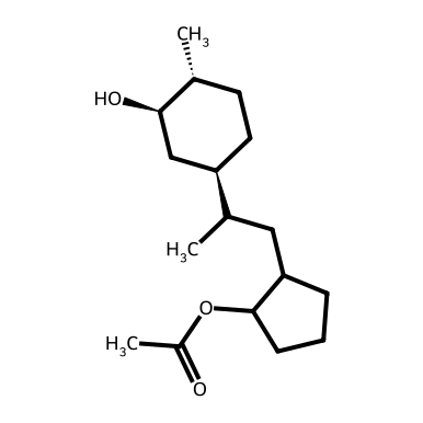 CC(=O)OC1CCCC1CC(C)[C@@H]1CC[C@@H](C)[C@H](O)C1